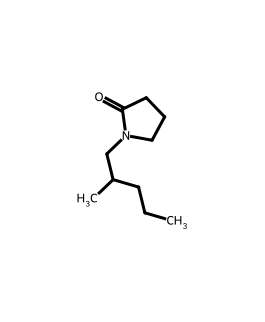 CCCC(C)CN1CCCC1=O